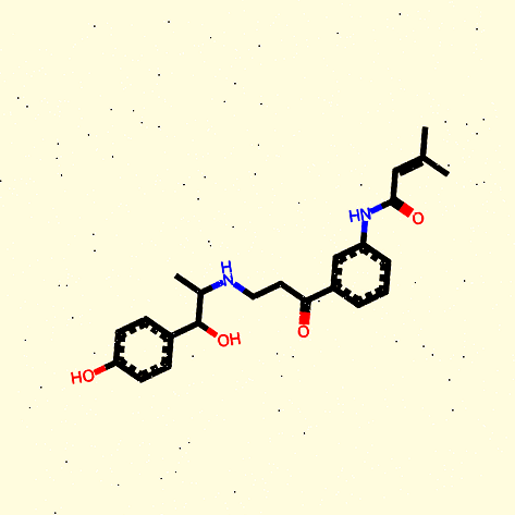 CC(C)=CC(=O)Nc1cccc(C(=O)CCNC(C)C(O)c2ccc(O)cc2)c1